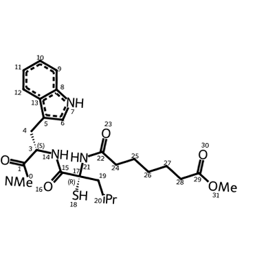 CNC(=O)[C@H](Cc1c[nH]c2ccccc12)NC(=O)[C@](S)(CC(C)C)NC(=O)CCCCCC(=O)OC